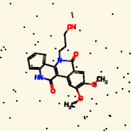 COc1cc2c(=O)n(CCCO)c3c4ccccc4[nH]c(=O)c3c2cc1OC